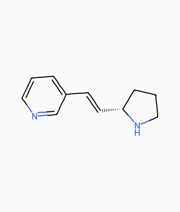 C(=C[C@@H]1CCCN1)c1cccnc1